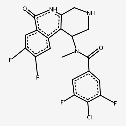 CN(C(=O)c1cc(F)c(Cl)c(F)c1)C1CNCc2[nH]c(=O)c3cc(F)c(F)cc3c21